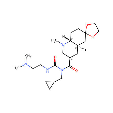 CN(C)CCNC(=O)N(CC1CC1)C(=O)[C@@H]1C[C@@H]2CC3(CC[C@H]2N(C)C1)OCCO3